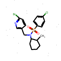 CC1CCCCC1N(Cc1ccc(Br)nc1)S(=O)(=O)c1ccc(Cl)cc1